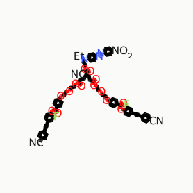 CCN(CCOC(=O)C(C#N)(CCC(=O)OCCOCCOc1ccc(C(=O)Oc2ccc(C#Cc3ccc(C#N)cc3)cc2F)cc1)CCC(=O)OCCOCCOc1ccc(C(=O)Oc2ccc(C#Cc3ccc(C#N)cc3)cc2F)cc1)c1ccc(/N=N/c2ccc([N+](=O)[O-])cc2)cc1